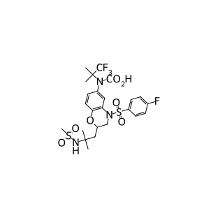 CC(C)(CC1CN(S(=O)(=O)c2ccc(F)cc2)c2cc(N(C(=O)O)C(C)(C)C(F)(F)F)ccc2O1)NS(C)(=O)=O